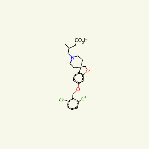 CC(CC(=O)O)CN1CCC2(CC1)COc1cc(OCc3c(Cl)cccc3Cl)ccc12